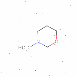 O=C(O)N1CCCOC1